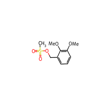 COc1cccc(COS(C)(=O)=O)c1OC